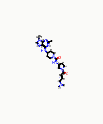 Cc1nc(NC2CCN(C(=O)N[C@H]3CCN(C(=O)/C=C/CN(C)C)C3)CC2)c2ncn(C(C)C)c2n1